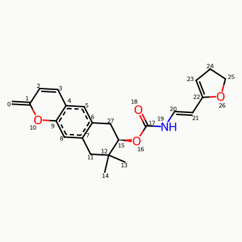 C=C1C=Cc2cc3c(cc2O1)CC(C)(C)[C@H](OC(=O)N/C=C/C1=CCCO1)C3